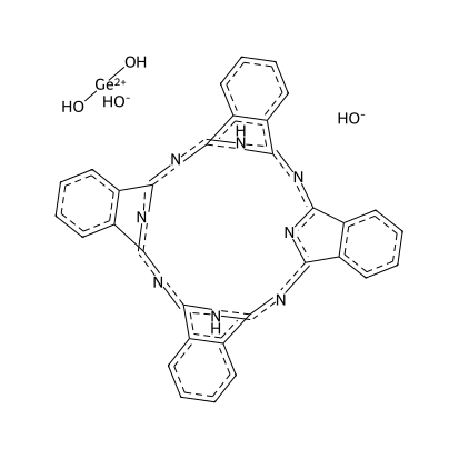 [OH-].[OH-].[OH][Ge+2][OH].c1ccc2c(c1)-c1nc-2nc2[nH]c(nc3nc(nc4[nH]c(n1)c1ccccc41)-c1ccccc1-3)c1ccccc21